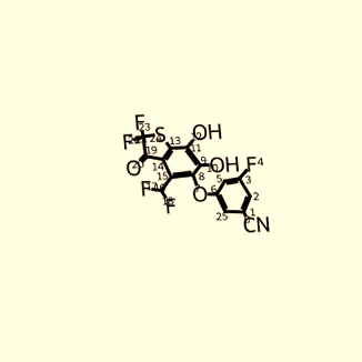 N#Cc1cc(F)cc(Oc2c(O)c(O)c3c(c2C(F)F)C(=O)C(F)(F)S3)c1